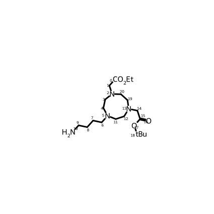 CCOC(=O)CN1CCN(CCCCN)CCN(CC(=O)OC(C)(C)C)CC1